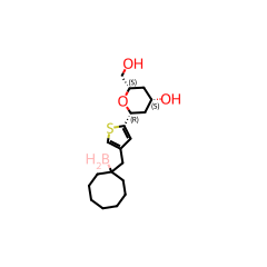 BC1(Cc2csc([C@H]3C[C@@H](O)C[C@@H](CO)O3)c2)CCCCCCC1